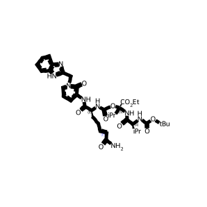 CCOC(=O)[C@@](NC(=O)[C@@H](NC(=O)OC(C)(C)C)C(C)C)(OC(=O)N[C@@H](CC/C=C/C(N)=O)C(=O)Nc1cccn(Cc2nc3ccccc3[nH]2)c1=O)C(C)C